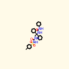 Cc1ccc(S(=O)(=O)NC(=O)NCC(NC(=O)Nc2ccccc2)(c2ccccc2)c2ccccc2)cc1